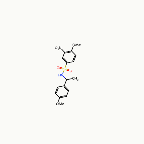 COc1ccc(C(C)NS(=O)(=O)c2ccc(OC)c([N+](=O)[O-])c2)cc1